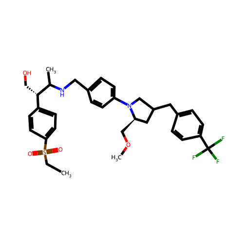 CCS(=O)(=O)c1ccc([C@H](CO)C(C)NCc2ccc(N3CC(Cc4ccc(C(F)(F)F)cc4)C[C@H]3COC)cc2)cc1